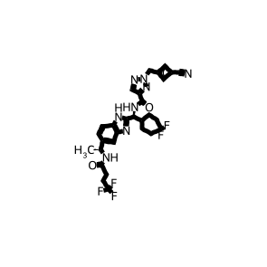 C[C@@H](NC(=O)CCC(F)(F)F)c1ccc2[nH]c([C@@H](NC(=O)c3cnn(CC45CC(C#N)(C4)C5)n3)C3CCC(F)(F)CC3)nc2c1